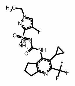 CCn1cc(F)c([S@@](N)(=O)=NC(=O)Nc2c3c(nc(C(F)(F)F)c2C2CC2)CCC3)n1